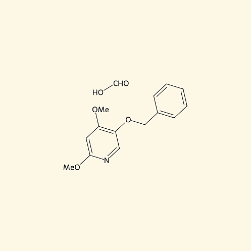 COc1cc(OC)c(OCc2ccccc2)cn1.O=CO